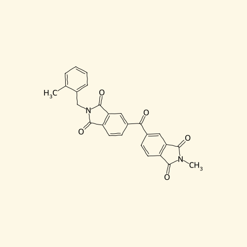 Cc1ccccc1CN1C(=O)c2ccc(C(=O)c3ccc4c(c3)C(=O)N(C)C4=O)cc2C1=O